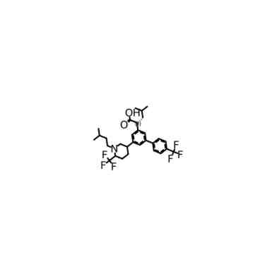 CC(C)CCN1CC(c2cc(-c3ccc(C(F)(F)F)cc3)cc([C@@H](CC(C)C)C(=O)O)c2)CCC1C(F)(F)F